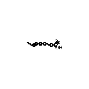 C=C(C)C(=O)OCC(CCO)C1CCC(CCC2CCC(c3ccc(-c4ccc5cc(CCCCC)ccc5c4)cc3)CC2)CC1